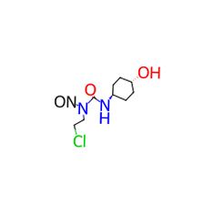 O=NN(CCCl)C(=O)N[C@H]1CC[C@H](O)CC1